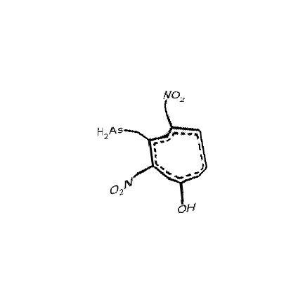 O=[N+]([O-])c1ccc(O)c([N+](=O)[O-])c1[AsH2]